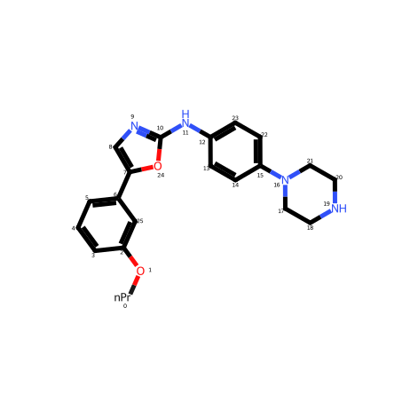 CCCOc1cccc(-c2cnc(Nc3ccc(N4CCNCC4)cc3)o2)c1